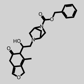 CC1=C2COC=C2CC(=O)C1C(O)CN1CC2CC1CN2C(=O)OCc1ccccc1